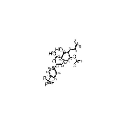 CC(C)=CCc1c(OC(C)C)cc(/C=C/c2ccc(C(F)(F)F)cc2)c(C(=O)O)c1O